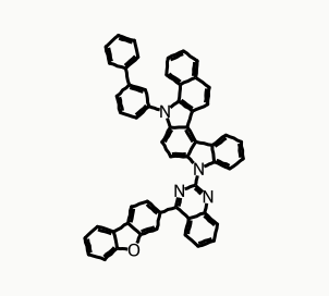 c1ccc(-c2cccc(-n3c4ccc5c(c6ccccc6n5-c5nc(-c6ccc7c(c6)oc6ccccc67)c6ccccc6n5)c4c4ccc5ccccc5c43)c2)cc1